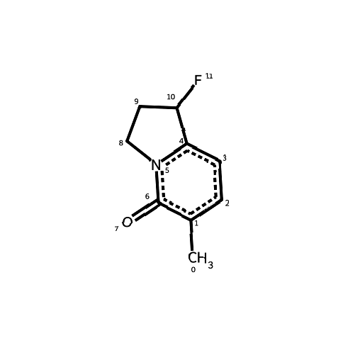 Cc1ccc2n(c1=O)CCC2F